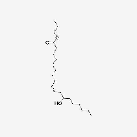 CCCCCCC(O)C/C=C\CCCCCCCC(=O)OCCC